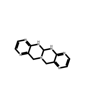 c1cnc2c(n1)CN1Cc3nccnc3NC1N2